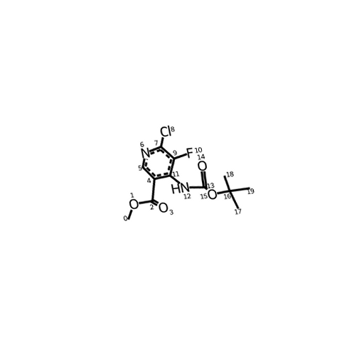 COC(=O)c1cnc(Cl)c(F)c1NC(=O)OC(C)(C)C